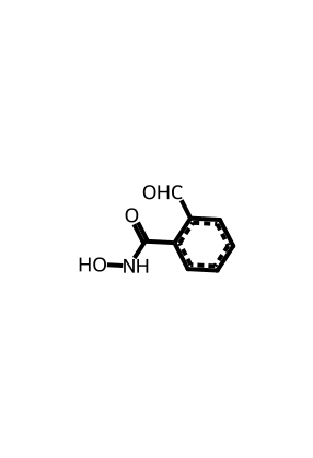 O=Cc1ccccc1C(=O)NO